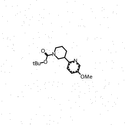 COc1ccc(C2CCCN(C(=O)OC(C)(C)C)C2)nc1